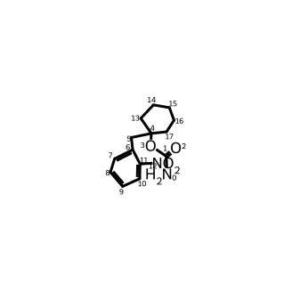 NC(=O)OC1(Cc2ccccc2[N+](=O)[O-])CCCCC1